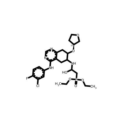 CCOP(=O)(CC(O)NC1Cc2c(ncnc2Nc2ccc(F)c(Cl)c2)CC1O[C@H]1CCOC1)OCC